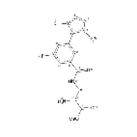 CCCn1ncc(Cl)c1-c1cc(F)cc(C(=O)NC[C@@H](N)C(=O)OC)c1